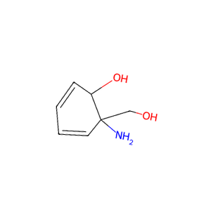 NC1(CO)C=CC=CC1O